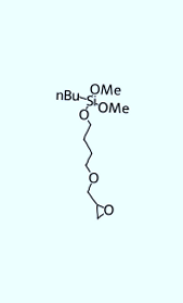 CCCC[Si](OC)(OC)OCCCCOCC1CO1